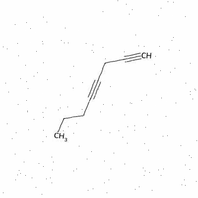 C#CCC#CCCC